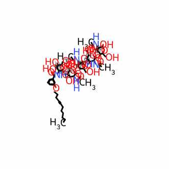 CCCCCCC#CCCCOc1cccc(C(=O)NC2[C@H](O[C@H]3C(O)C(NC(C)=O)C(OC4C(CO)O[C@@H](O[C@H]5C(O)C(NC(C)=O)C(OC6C(CO)OC(O)[C@@H](NC(C)=O)[C@H]6O)O[C@H]5CO)[C@@H](NC(C)=O)[C@H]4O)O[C@H]3CO)OC(CO)[C@@H](O)[C@@H]2O)c1